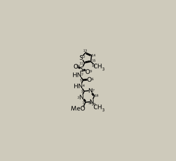 COC1=NC(NC(=O)NS(=O)(=O)c2sccc2C)N=CN1C